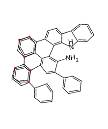 Nc1c(-c2ccccc2)cc(-c2ccccc2-c2ccccc2)c(-c2ccccc2-c2ccccc2)c1-c1c(-c2ccccc2)ccc2c1[nH]c1ccccc12